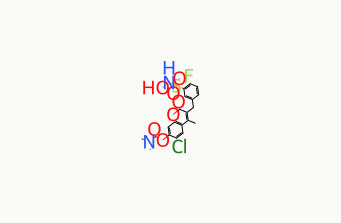 Cc1c(Cc2ccc(F)c(S(=O)(=O)NO)c2)c(=O)oc2cc(OC(=O)N(C)C)c(Cl)cc12